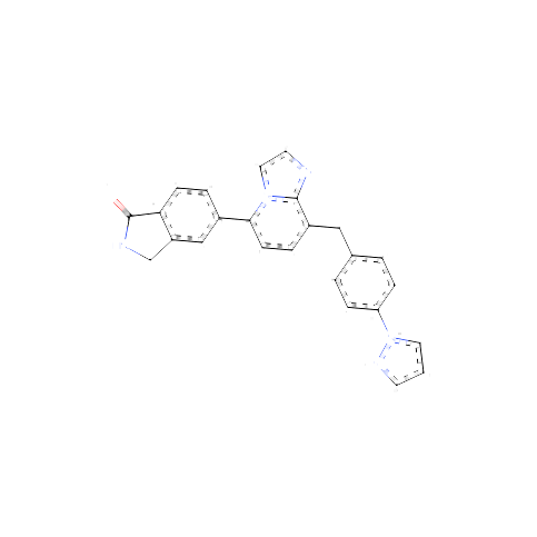 O=C1NCc2cc(-c3ccc(Cc4ccc(-n5cccn5)cc4)c4nccn34)ccc21